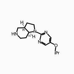 CC(C)Oc1cnc(N2CC[C@@H]3CNCC[C@@H]32)nc1